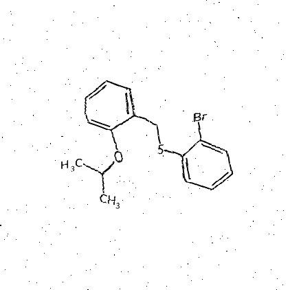 CC(C)Oc1ccccc1CSc1ccccc1Br